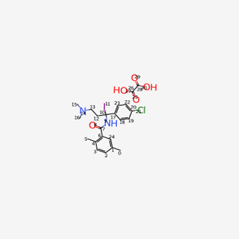 Cc1ccc(C)c(C(=O)NC(I)(CCN(C)C)c2ccc(Cl)cc2)c1.O=C(O)C(=O)O